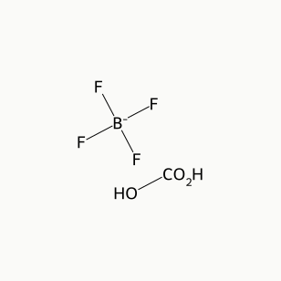 F[B-](F)(F)F.O=C(O)O